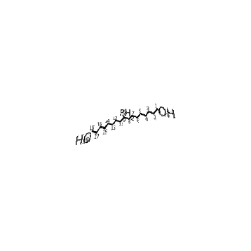 OCCCCCCCCC(P)CCCCCCCCO